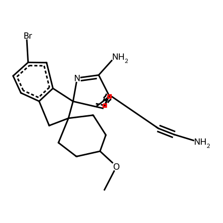 COC1CCC2(CC1)Cc1ccc(Br)cc1C21N=C(N)c2cc(C#CN)ccc21